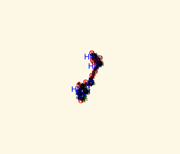 COc1cc(C(=O)NC2CCCN(CCOCCOCCNc3cccc4c3C(=O)N(C3CCC(=O)NC3=O)C4=O)C2)c(F)cc1Nc1ncc2c(n1)N(C1CCCC1)CC(F)(F)C(=O)N2C